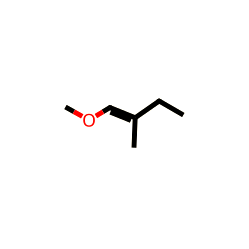 CC/C(C)=C/OC